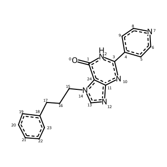 O=c1[nH]c(-c2ccncc2)nc2ncn(CCCc3ccccc3)c12